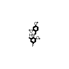 COc1ccc(CNc2c(C)cc(F)cc2OC)c(OC)c1